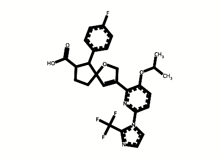 CC(C)Oc1ccc(-n2ccnc2C(F)(F)F)nc1C1=CC2(CCC(C(=O)O)C2c2ccc(F)cc2)OC1